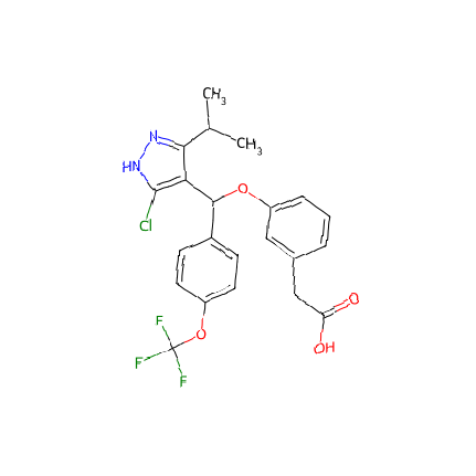 CC(C)c1n[nH]c(Cl)c1C(Oc1cccc(CC(=O)O)c1)c1ccc(OC(F)(F)F)cc1